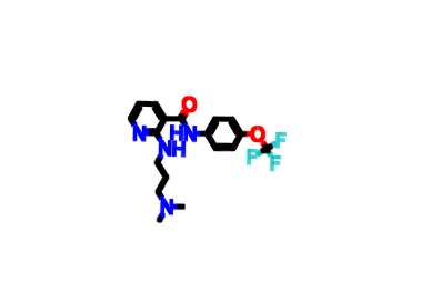 CN(C)CCCNc1ncccc1C(=O)Nc1ccc(OC(F)(F)F)cc1